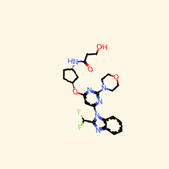 O=C(CCO)N[C@H]1CC[C@H](Oc2cc(-n3c(C(F)F)nc4ccccc43)nc(N3CCOCC3)n2)C1